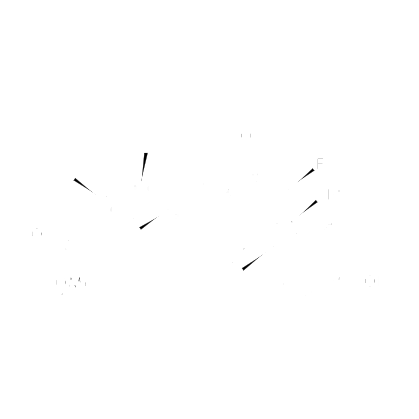 CC[C@@H]1C(=O)C2C3CC[C@H]([C@H](C)CC(=O)OC)[C@@]3(C)CCC2[C@@]2(C)CC[C@@H](O)C[C@@H]12